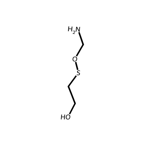 NCOSCCO